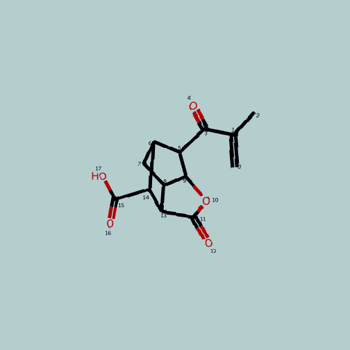 C=C(C)C(=O)C1C2CC3C1OC(=O)C3C2C(=O)O